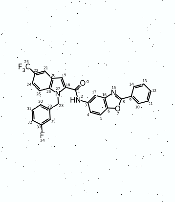 O=C(Nc1ccc2oc(-c3ccccc3)nc2c1)c1cc2cc(C(F)(F)F)ccc2n1Cc1cccc(F)c1